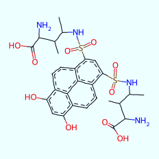 CC(NS(=O)(=O)c1cc(S(=O)(=O)NC(C)C(C)C(N)C(=O)O)c2ccc3c(O)cc(O)c4ccc1c2c43)C(C)C(N)C(=O)O